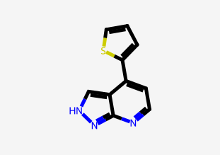 c1csc(-c2ccnc3n[nH]cc23)c1